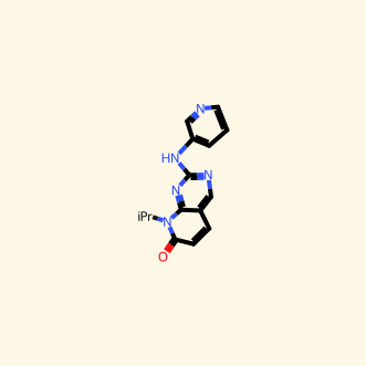 CC(C)n1c(=O)ccc2cnc(Nc3cccnc3)nc21